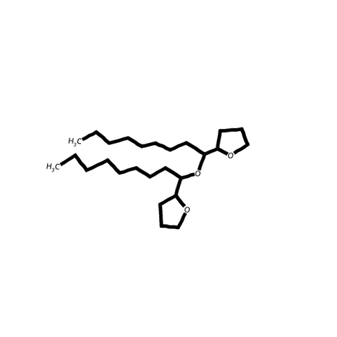 CCCCCCCCC(OC(CCCCCCCC)C1CCCO1)C1CCCO1